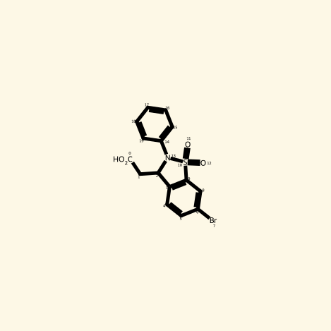 O=C(O)CC1c2ccc(Br)cc2S(=O)(=O)N1c1ccccc1